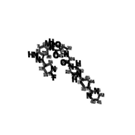 CO[C@@]1(C(=O)Nc2ccc3[nH]nc(-c4ccc(F)nc4)c3c2)CCN(CC(=O)N2C[C@@H]3C[C@H]2CN3c2ccc(-c3ncccn3)cc2)C1